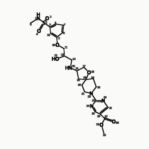 CNS(=O)(=O)c1cccc(OCC(O)CNC2COC3(CCN(c4ncc(C(=O)OC)cn4)CC3)C2)c1